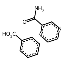 NC(=O)c1cnccn1.O=C(O)c1ccccc1